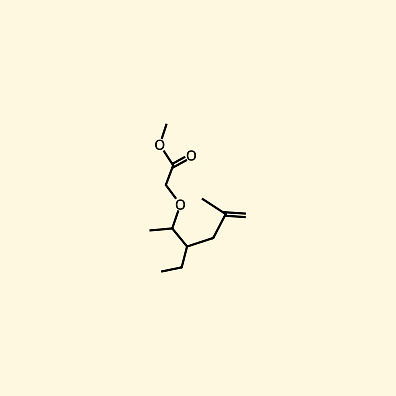 C=C(C)CC(CC)C(C)OCC(=O)OC